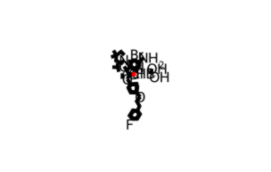 CC[C@@](OC(C)(C)C)(C(=O)Oc1ccc(OCCc2ccc(F)cc2)cc1)c1c(Cl)nc(N)c(Br)c1N1CCC(C)(C)CC1.OBO